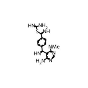 CNc1ncnc(N)c1C(=N)c1ccc(C(=N)SC(=N)N)cc1